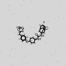 C[C@]12CC3CC(NC(=O)NC4CCC(Oc5ccc(CC6ONOS6)cc5)CC4)(C1)C[C@@](C)(C3)C2